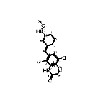 COBN1CCCC(=Cc2cc(Cl)c3c(c2F)NC(=O)CO3)C1